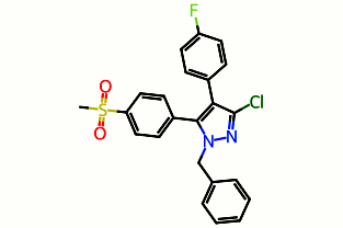 CS(=O)(=O)c1ccc(-c2c(-c3ccc(F)cc3)c(Cl)nn2Cc2ccccc2)cc1